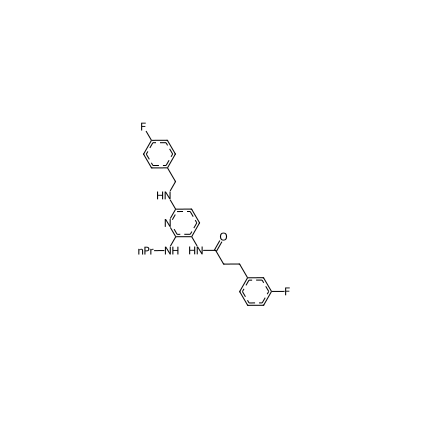 CCCNc1nc(NCc2ccc(F)cc2)ccc1NC(=O)CCc1cccc(F)c1